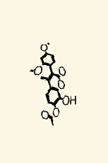 COc1ccc(-c2c(C)c3ccc(OC(C)=O)c(O)c3oc2=O)c(OC)c1